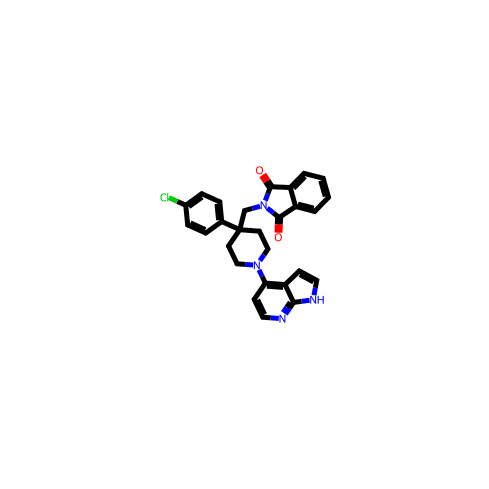 O=C1c2ccccc2C(=O)N1CC1(c2ccc(Cl)cc2)CCN(c2ccnc3[nH]ccc23)CC1